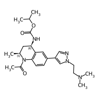 CC(=O)N1c2ccc(-c3cnn(CCN(C)C)c3)cc2[C@H](NC(=O)OC(C)C)C[C@@H]1C